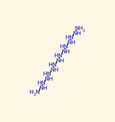 NCCNCCNCCNCCNCCNCCNCCNCCNCCNCCNCCNCCNCCNCCN